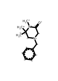 CN1C(=O)CN(Cc2ccccc2)CC1(C)C